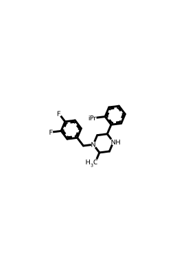 CC(C)c1ccccc1C1CN(Cc2ccc(F)c(F)c2)C(C)CN1